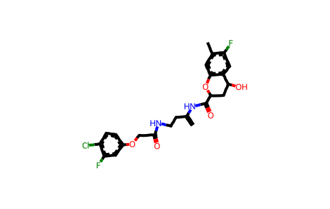 C=C(CCNC(=O)COc1ccc(Cl)c(F)c1)NC(=O)C1CC(O)c2cc(F)c(C)cc2O1